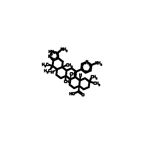 CC1(C)CC[C@]2(C(=O)O)CC[C@]3(C)C(=C(c4ccc(N)nc4)CC4[C@@]5(C)Cc6c(n[nH]c6N)C(C)(C)[C@@H]5CC[C@]43C)[C@@H]2C1